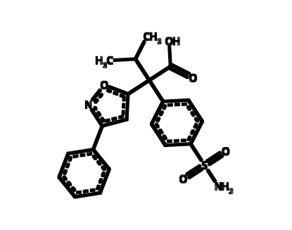 CC(C)C(C(=O)O)(c1ccc(S(N)(=O)=O)cc1)c1cc(-c2ccccc2)no1